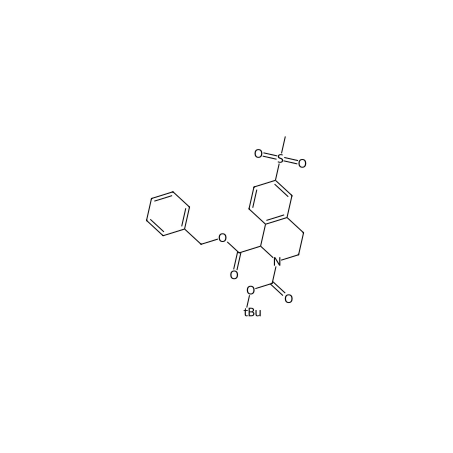 CC(C)(C)OC(=O)N1CCc2cc(S(C)(=O)=O)ccc2C1C(=O)OCc1ccccc1